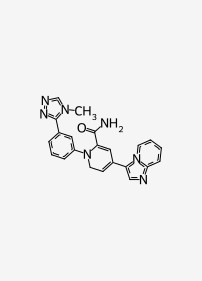 Cn1cnnc1-c1cccc(N2CC=C(c3cnc4ccccn34)C=C2C(N)=O)c1